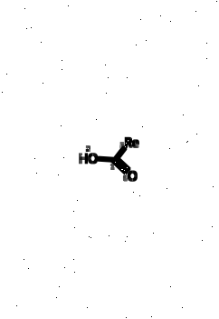 O=[C](O)[Re]